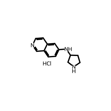 Cl.c1cc2cc(NC3CCNC3)ccc2cn1